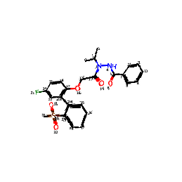 CC(C)N(NC(=O)c1ccccc1)C(=O)COc1ccc(F)cc1-c1ccccc1S(C)(=O)=O